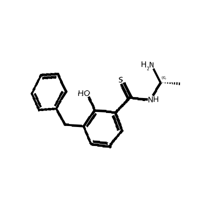 C[C@@H](N)NC(=S)c1cccc(Cc2ccccc2)c1O